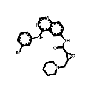 O=C(Nc1ccc2ncnc(Nc3cccc(Br)c3)c2c1)C1OC1CN1CCCCC1